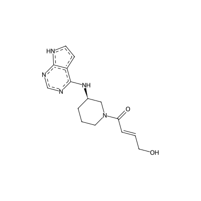 O=C(C=CCO)N1CCC[C@@H](Nc2ncnc3[nH]ccc23)C1